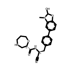 CN1c2cc(-c3ccc(C[C@@H](C#N)NC(=O)[C@@H]4CNCCCO4)cc3)ccc2OC1O